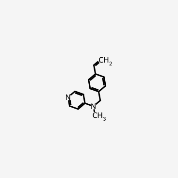 C=Cc1ccc(CN(C)c2ccncc2)cc1